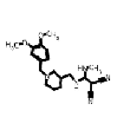 CNC(NCC1CCCN(Cc2ccc(OC)c(OC)c2)C1)C(C#N)C#N